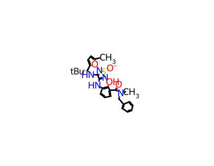 Cc1ccc([C@H](Nc2n[s+]([O-])nc2Nc2cccc(C(=O)N(C)Cc3ccccc3)c2O)C(C)(C)C)o1